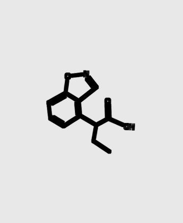 CCC(C(=O)O)c1cccc2oncc12